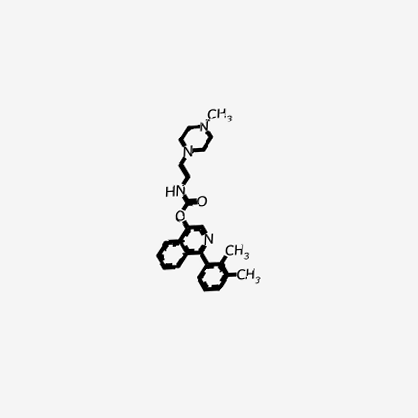 Cc1cccc(-c2ncc(OC(=O)NCCN3CCN(C)CC3)c3ccccc23)c1C